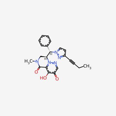 CCC#Cc1ccn([C@@H](c2ccccc2)[C@@H]2CN(C)C(=O)c3c(O)c(=O)cnn32)n1